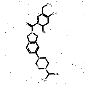 CCC1=C(O)CC(O)C(C(=O)N2Cc3ccc(N4CCN(C(C)C)CC4)cc3C2)=C1